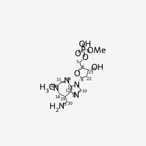 COP(=O)(O)OCC1O[C@@H](n2cnc3c2N=CN(C)CC3CN)C[C@H]1O